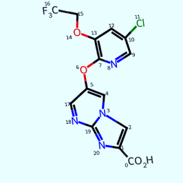 O=C(O)c1cn2cc(Oc3ncc(Cl)cc3OCC(F)(F)F)cnc2n1